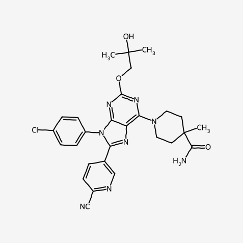 CC(C)(O)COc1nc(N2CCC(C)(C(N)=O)CC2)c2nc(-c3ccc(C#N)nc3)n(-c3ccc(Cl)cc3)c2n1